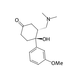 COc1cccc([C@]2(O)CCC(=O)C[C@@H]2CN(C)C)c1